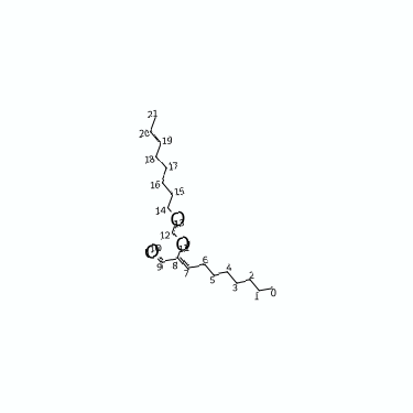 CCCCCCCC=C(C=O)OCOCCCCCCCC